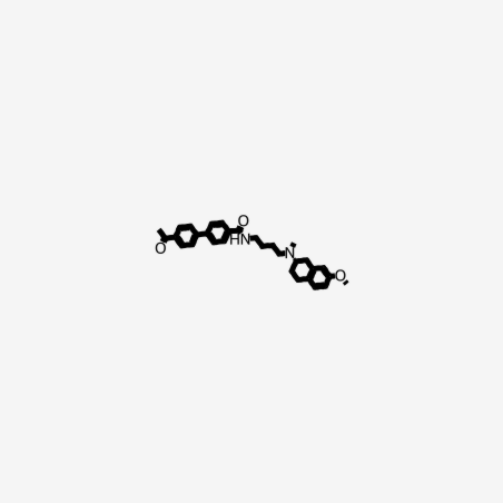 COc1ccc2c(c1)C[C@H](N(C)CCCCNC(=O)c1ccc(-c3ccc(C(C)=O)cc3)cc1)CC2